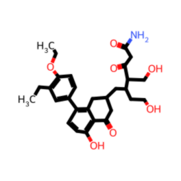 CCOc1ccc(-c2ccc(O)c3c2CC(CC(CCO)C(CO)C(=O)CC(N)=O)CC3=O)cc1CC